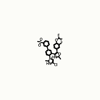 CC1NC(c2cc(-c3cccc(S(C)(=O)=O)c3)ccc2N2C=C(Cl)NC2C)=C(c2ccc(OC(F)F)c(F)c2)O1